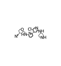 N#CC1CCOC(CNc2cccc(-c3cc(NC4CCNCC4)ncc3Cl)n2)C1